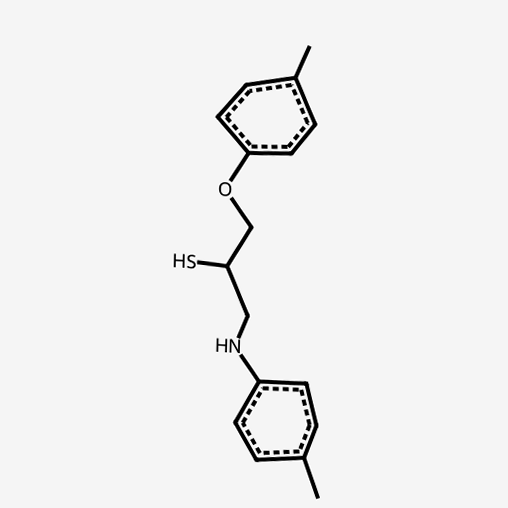 Cc1ccc(NCC(S)COc2ccc(C)cc2)cc1